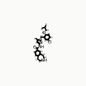 Cc1cc(NC(=O)c2ccc3c(c2)CCNCC3)nn1Cc1cc(Cl)ccc1OCC(C)C